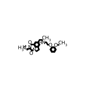 CCCC(=O)N1CCc2cc(CC(C)NCCOc3ccccc3OCC)cc(C(N)=O)c21